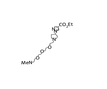 CCOC(=O)c1cnn(C2CCN(CCOCCOCCOCCNC)CC2)c1